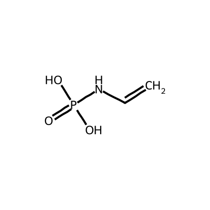 C=CNP(=O)(O)O